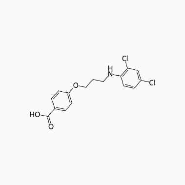 O=C(O)c1ccc(OCCCNc2ccc(Cl)cc2Cl)cc1